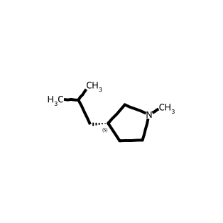 CC(C)C[C@H]1CCN(C)C1